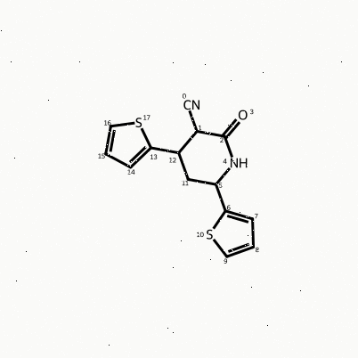 N#CC1C(=O)NC(c2cccs2)CC1c1cccs1